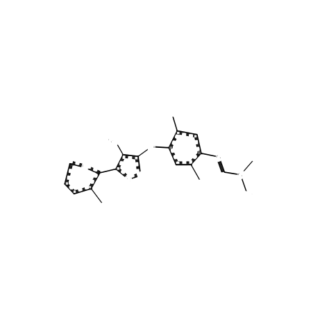 Cc1cc(N=CN(C)C(C)C)c(Cl)cc1Oc1snc(-c2ccccc2C)c1C#N